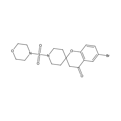 O=C1CC2(CCN(S(=O)(=O)N3CCOCC3)CC2)Oc2ccc(Br)cc21